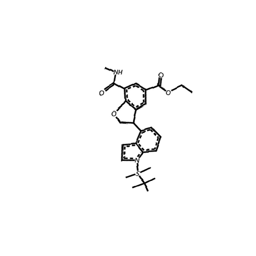 CCOC(=O)c1cc(C(=O)NC)c2c(c1)C(c1cccc3c1ccn3S(C)(C)C(C)(C)C)CO2